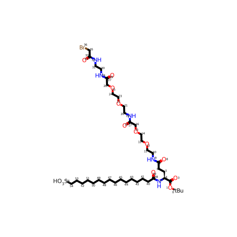 CC(C)(C)OC(=O)[C@H](CCC(=O)NCCOCCOCC(=O)NCCOCCOCC(=O)NCCNC(=O)CBr)NC(=O)CCCCCCCCCCCCCCCS(=O)(=O)O